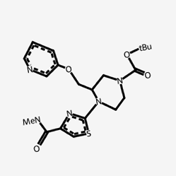 CNC(=O)c1csc(N2CCN(C(=O)OC(C)(C)C)CC2COc2cccnc2)n1